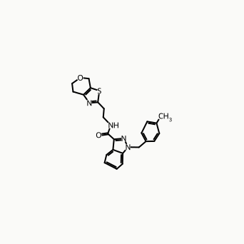 Cc1ccc(Cn2nc(C(=O)NCCc3nc4c(s3)COCC4)c3ccccc32)cc1